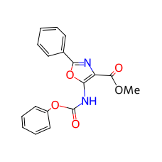 COC(=O)c1nc(-c2ccccc2)oc1NC(=O)Oc1ccccc1